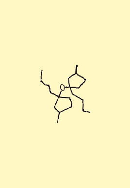 CCCCC1(OC2(CCCC)CCC(C)C2)CCC(C)C1